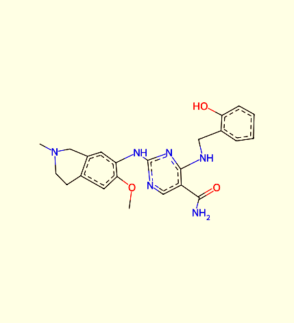 COc1cc2c(cc1Nc1ncc(C(N)=O)c(NCc3ccccc3O)n1)CN(C)CC2